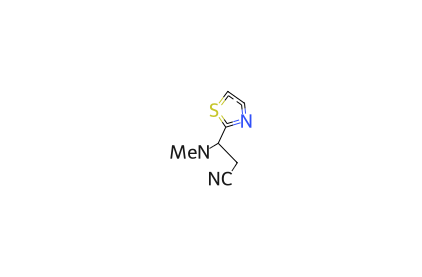 CNC(CC#N)c1nccs1